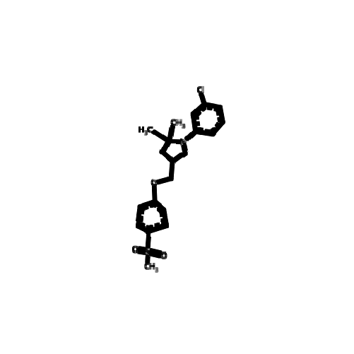 CC1(C)CC(COc2ccc(S(C)(=O)=O)cc2)CN1c1cccc(Cl)c1